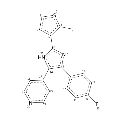 Cc1sccc1-c1nc(-c2ccc(F)cc2)c(-c2ccncc2)[nH]1